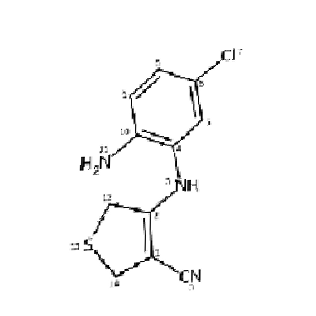 N#CC1=C(Nc2cc(Cl)ccc2N)CSC1